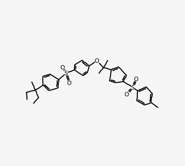 CCC(C)(CC)c1ccc(S(=O)(=O)c2ccc(OC(C)(C)c3ccc(S(=O)(=O)c4ccc(C)cc4)cc3)cc2)cc1